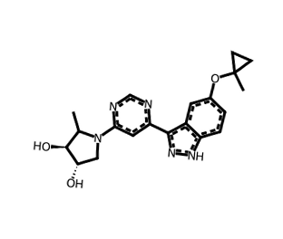 CC1[C@H](O)[C@@H](O)CN1c1cc(-c2n[nH]c3ccc(OC4(C)CC4)cc23)ncn1